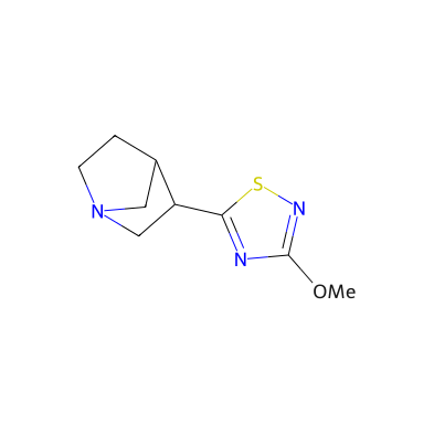 COc1nsc(C2CN3CCC2C3)n1